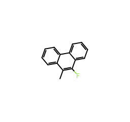 Cc1c(F)c2ccccc2c2ccccc12